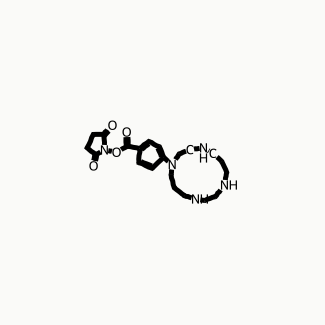 O=C(ON1C(=O)CCC1=O)c1ccc(N2CCCNCCNCCCNCC2)cc1